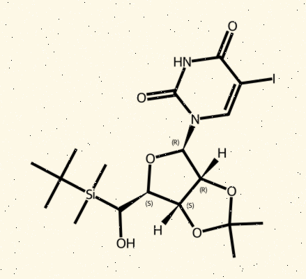 CC1(C)O[C@@H]2[C@H](O1)[C@@H](C(O)[Si](C)(C)C(C)(C)C)O[C@H]2n1cc(I)c(=O)[nH]c1=O